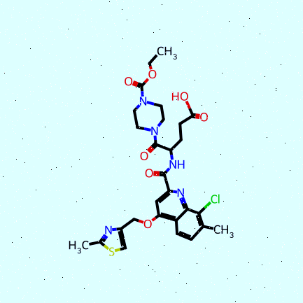 CCOC(=O)N1CCN(C(=O)C(CCC(=O)O)NC(=O)c2cc(OCc3csc(C)n3)c3ccc(C)c(Cl)c3n2)CC1